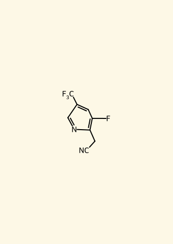 N#CCc1ncc(C(F)(F)F)cc1F